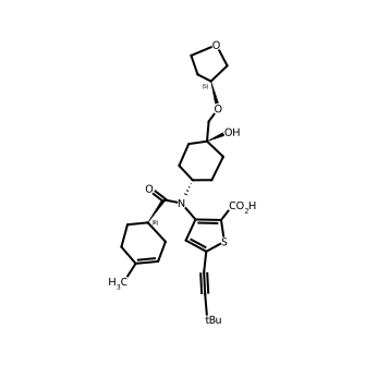 CC1=CC[C@H](C(=O)N(c2cc(C#CC(C)(C)C)sc2C(=O)O)[C@H]2CC[C@@](O)(CO[C@H]3CCOC3)CC2)CC1